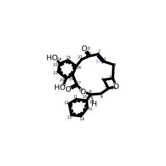 O=C1/C=C/CC2CC(C[C@@H](c3ccccc3)OC(=O)c3c(O)cc(O)cc3C1)O2